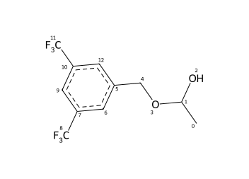 CC(O)OCc1cc(C(F)(F)F)cc(C(F)(F)F)c1